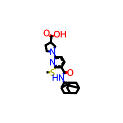 CSc1nc(N2CCC(C(=O)O)C2)ccc1C(=O)NC1C2CC3CC(C2)CC1C3